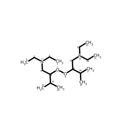 CCN(CC)CC(OOC(CN(CC)CC)C(C)C)C(C)C